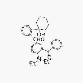 CCN(CC)c1ccccc1C(=O)c1ccccc1.O=Cc1ccccc1C1(O)CCCCC1